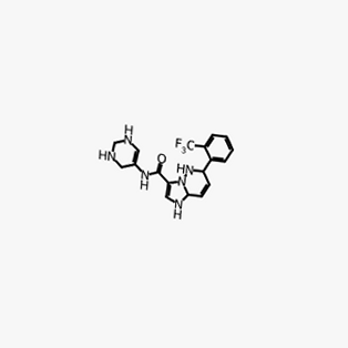 O=C(NC1=CNCNC1)C1=CNC2C=CC(c3ccccc3C(F)(F)F)NN12